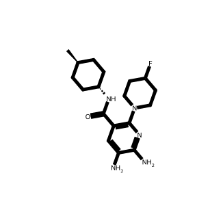 C[C@H]1CC[C@H](NC(=O)c2cc(N)c(N)nc2N2CCC(F)CC2)CC1